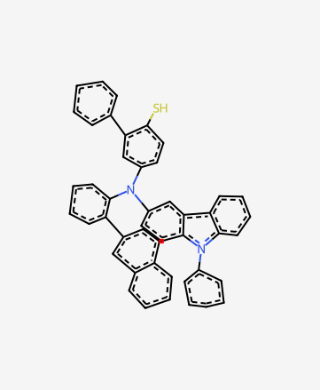 Sc1ccc(N(c2ccc3c(c2)c2ccccc2n3-c2ccccc2)c2ccccc2-c2ccc3ccccc3c2)cc1-c1ccccc1